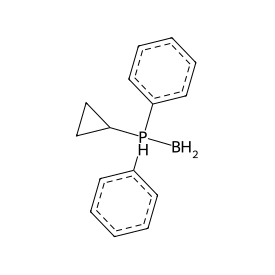 B[PH](c1ccccc1)(c1ccccc1)C1CC1